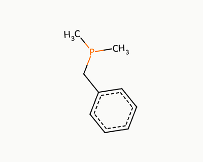 CP(C)Cc1ccccc1